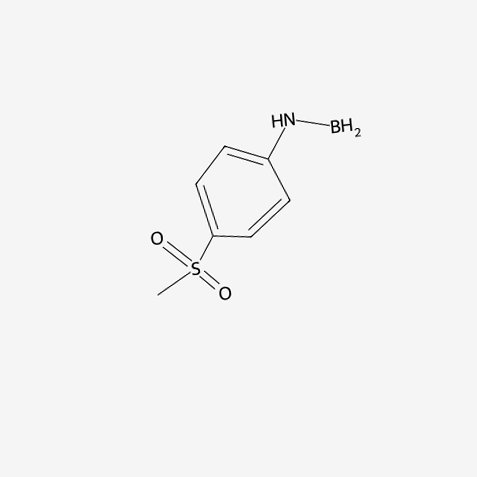 BNc1ccc(S(C)(=O)=O)cc1